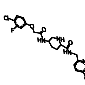 O=C(COc1ccc(Cl)c(F)c1)NC1CCC(C(=O)NCc2ccc(Cl)cn2)NC1